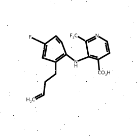 C=CCCc1cc(F)ccc1Nc1c(C(=O)O)ccnc1C(F)(F)F